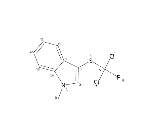 Cn1cc(SC(F)(Cl)Cl)c2ccccc21